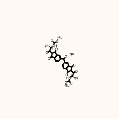 CC(C)[C@@H](NC(=O)OC(C)(C)C)C(=O)C1C(=O)c2ccc(C(=O)c3ccc4c(c3)C(=O)C(C(=O)[C@H](NC(=O)OC(C)(C)C)C(C)C)C4=O)cc2C1=O.[Na]